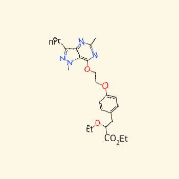 CCCc1nn(C)c2c(OCCOc3ccc(CC(OCC)C(=O)OCC)cc3)nc(C)nc12